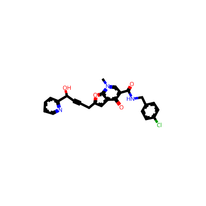 Cn1cc(C(=O)NCc2ccc(Cl)cc2)c(=O)c2cc(CC#CC(O)c3ccccn3)oc21